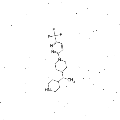 CC(C1CCNCC1)N1CCN(c2ccc(C(F)(F)F)nn2)CC1